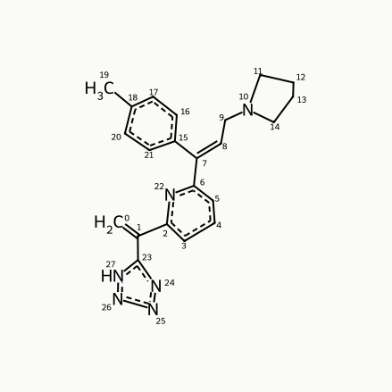 C=C(c1cccc(C(=CCN2CCCC2)c2ccc(C)cc2)n1)c1nnn[nH]1